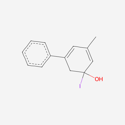 CC1=CC(O)(I)CC(c2ccccc2)=C1